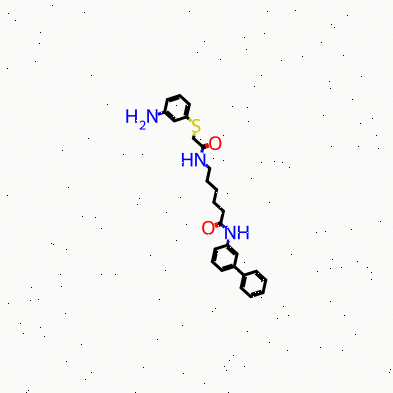 Nc1cccc(SCC(=O)NCCCCCC(=O)Nc2cccc(-c3ccccc3)c2)c1